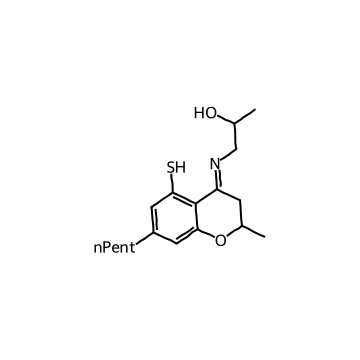 CCCCCc1cc(S)c2c(c1)OC(C)CC2=NCC(C)O